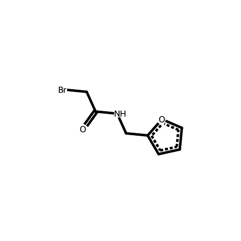 O=C(CBr)NCc1ccco1